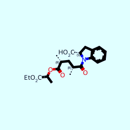 CCOC(=O)C(C)OC(=O)[C@H](C)C[C@@H](C)C(=O)N1c2ccccc2C[C@H]1C(=O)O